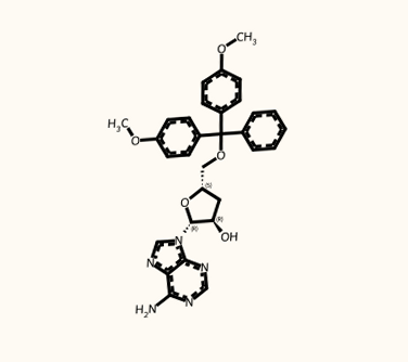 COc1ccc(C(OC[C@@H]2C[C@@H](O)[C@H](n3cnc4c(N)ncnc43)O2)(c2ccccc2)c2ccc(OC)cc2)cc1